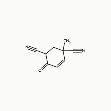 CC1(C#N)C=CC(=O)C(C#N)C1